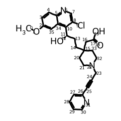 COc1ccc2ncc(Cl)c([C@H](O)CCC3(CC(=O)O)CCN(CC#Cc4ccccn4)CC3)c2c1